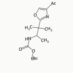 CC(=O)c1coc(C(C)(C)C(C)NC(=O)OC(C)(C)C)n1